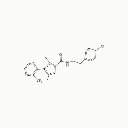 Cc1cc(C(=O)NCCc2ccc(Cl)cc2)c(C)n1-c1ccccc1C(F)(F)F